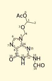 CC(=O)OC(C)OCn1cnc2c(=O)[nH]c(NC=O)nc21